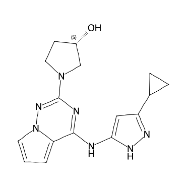 O[C@H]1CCN(c2nc(Nc3cc(C4CC4)n[nH]3)c3cccn3n2)C1